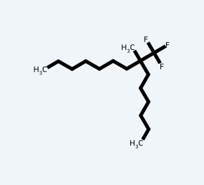 CCCCCCCC(C)(CCCCCC)C(F)(F)F